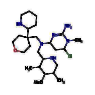 COC1C(C)CNC(CN(CC2(C3CCCCN3)CCOCC2)C2CC(Cl)N(C)C(N)=N2)C1C